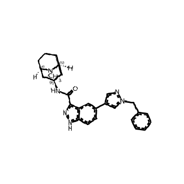 CN1[C@@H]2CCC[C@H]1C[C@@H](NC(=O)c1n[nH]c3ccc(-c4cnn(Cc5ccccc5)c4)cc13)C2